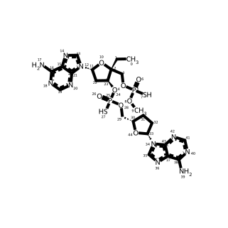 CC[C@]1(COP(=O)(S)OC)O[C@@H](n2cnc3c(N)ncnc32)C[C@@H]1OP(=O)(S)OC[C@@H]1CC[C@H](n2cnc3c(N)ncnc32)O1